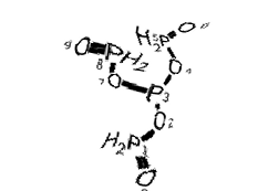 O=[PH2]OP(O[PH2]=O)O[PH2]=O